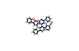 N#Cc1ccccc1-n1c2ccccc2c2cccc(-c3cccc4c5ccccc5n(-c5ccc6oc7ccccc7c6c5)c34)c21